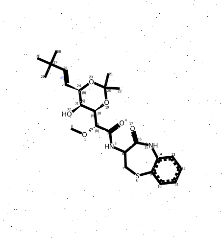 CO[C@@H](C(=O)NC1CSc2ccccc2NC1=O)[C@@H]1OC(C)(C)O[C@H](/C=C/C(C)(C)C)[C@@H]1O